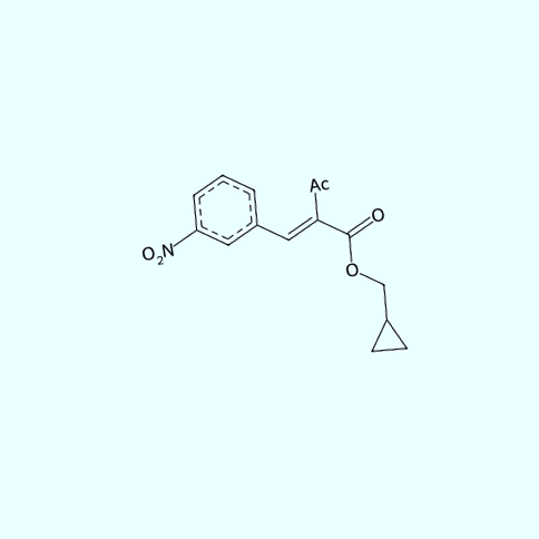 CC(=O)/C(=C\c1cccc([N+](=O)[O-])c1)C(=O)OCC1CC1